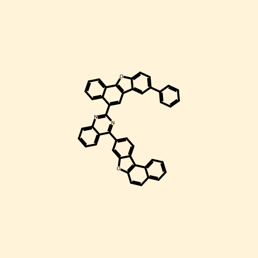 c1ccc(-c2ccc3oc4c5ccccc5c(-c5nc(-c6ccc7c(c6)oc6ccc8ccccc8c67)c6ccccc6n5)cc4c3c2)cc1